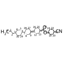 C=CC[C@H]1CC[C@H]([C@H]2CC[C@H]([C@H]3CC[C@H](C(=O)Oc4ccc(C#N)cc4)CC3)CC2)CC1